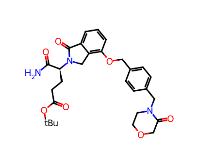 CC(C)(C)OC(=O)CC[C@@H](C(N)=O)N1Cc2c(OCc3ccc(CN4CCOCC4=O)cc3)cccc2C1=O